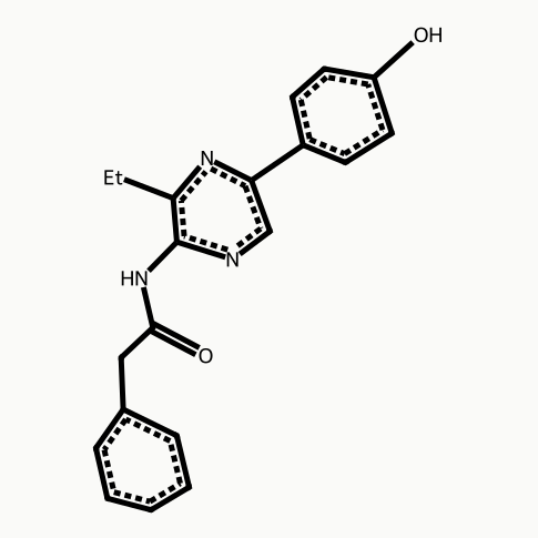 CCc1nc(-c2ccc(O)cc2)cnc1NC(=O)Cc1ccccc1